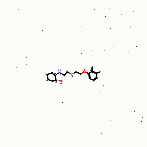 Cc1cccc(OCCOCCN[C@@H]2CCCC[C@H]2O)c1C